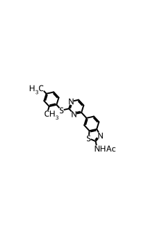 CC(=O)Nc1nc2ccc(-c3ccnc(Sc4ccc(C)cc4C)n3)cc2s1